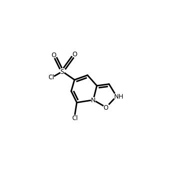 O=S(=O)(Cl)C1=CC2=CNON2C(Cl)=C1